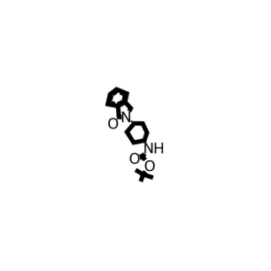 CC(C)(C)OC(=O)N[C@H]1CC[C@H](N2Cc3ccccc3C2=O)CC1